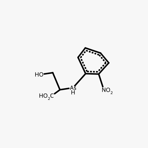 O=C(O)C(CO)[AsH]c1ccccc1[N+](=O)[O-]